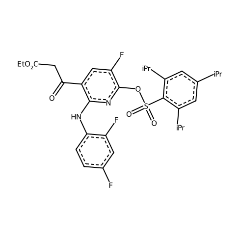 CCOC(=O)CC(=O)c1cc(F)c(OS(=O)(=O)c2c(C(C)C)cc(C(C)C)cc2C(C)C)nc1Nc1ccc(F)cc1F